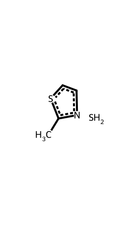 Cc1nccs1.S